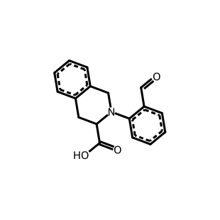 O=Cc1ccccc1N1Cc2ccccc2CC1C(=O)O